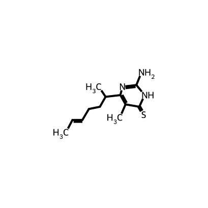 C/C=C/CCC(C)c1nc(N)[nH]c(=S)c1C